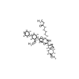 CCC(=O)CCCCC[C@H](NC(=O)C1=NOC2(CCN(C)CC2)C1)c1ncc(-c2ccc(-c3ccncc3)cc2OC)o1